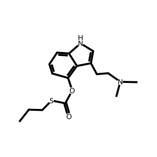 CCCSC(=O)Oc1cccc2[nH]cc(CCN(C)C)c12